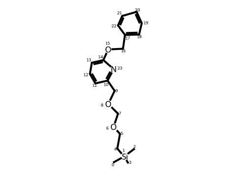 C[Si](C)(C)CCOCOCc1cccc(OCc2ccccc2)n1